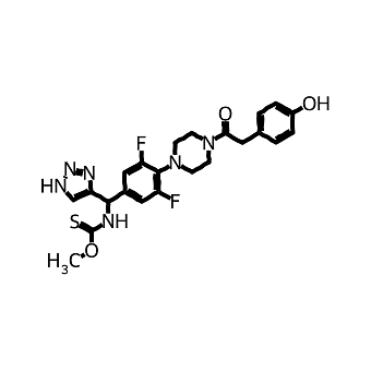 COC(=S)NC(c1cc(F)c(N2CCN(C(=O)Cc3ccc(O)cc3)CC2)c(F)c1)c1c[nH]nn1